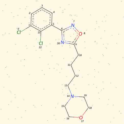 Clc1cccc(-c2noc(CCCCN3CCOCC3)n2)c1Cl